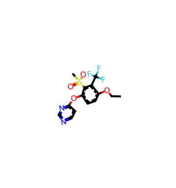 CCOc1ccc(Oc2ccncn2)c(S(C)(=O)=O)c1C(F)(F)F